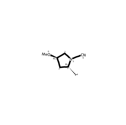 CO[C@@H]1C[C@@H](C)N(C#N)C1